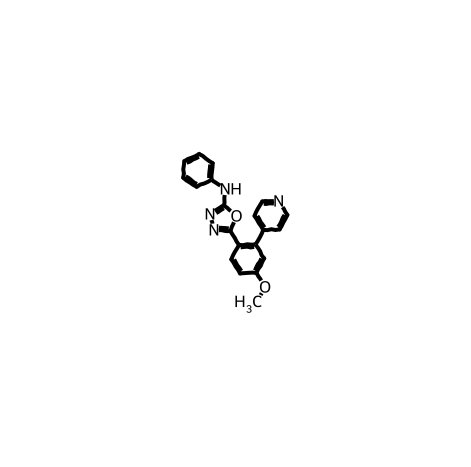 COc1ccc(-c2nnc(Nc3ccccc3)o2)c(-c2ccncc2)c1